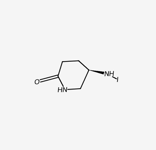 O=C1CC[C@@H](NI)CN1